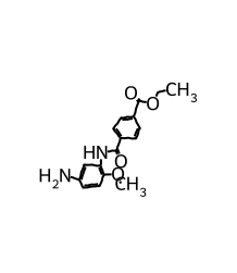 CCOC(=O)c1ccc(C(=O)Nc2cc(N)ccc2OC)cc1